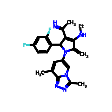 C=C1C(NCC)=C(C(C)=N)C(c2ccc(F)cc2F)N1c1cc(C)c2nnc(C)n2c1